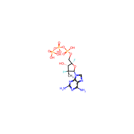 C[C@]1(F)[C@H](n2cnc3c(N)nc(N)nc32)O[C@](F)(COP(=O)(O)OP(=O)(O)OP(=O)(O)O)[C@H]1O